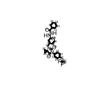 O=C(NNc1cc(CN2C(=O)N(c3ccc(SC(F)(F)F)cc3)C(=O)C23CC3)ccn1)c1ccccc1